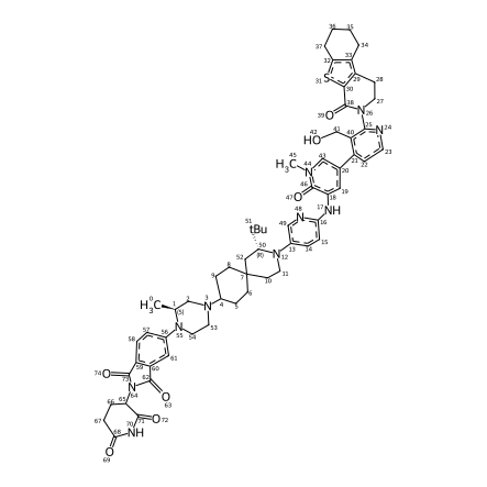 C[C@H]1CN(C2CCC3(CC2)CCN(c2ccc(Nc4cc(-c5ccnc(N6CCc7c(sc8c7CCCC8)C6=O)c5CO)cn(C)c4=O)nc2)[C@@H](C(C)(C)C)C3)CCN1c1ccc2c(c1)C(=O)N(C1CCC(=O)NC1=O)C2=O